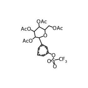 CC(=O)OCC1OC(c2cccc(OS(=O)(=O)C(F)(F)F)c2)C(OC(C)=O)C(OC(C)=O)C1OC(C)=O